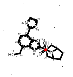 O=C(O)N1C2CCC1CN(c1nc3c(CO)ccc(-c4nccs4)c3o1)C2